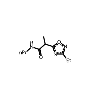 CCCNC(=O)C(C)c1nc(CC)no1